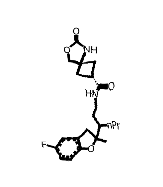 CCCC(CCNC(=O)[C@H]1C[C@]2(COC(=O)N2)C1)C1(C)Cc2cc(F)ccc2O1